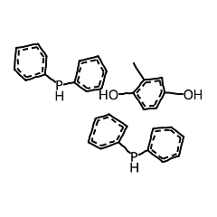 Cc1cc(O)ccc1O.c1ccc(Pc2ccccc2)cc1.c1ccc(Pc2ccccc2)cc1